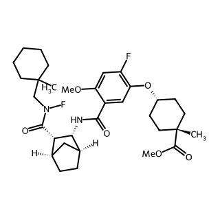 COc1cc(F)c(O[C@H]2CC[C@@](C)(C(=O)OC)CC2)cc1C(=O)N[C@@H]1[C@H]2CC[C@H](C2)[C@@H]1C(=O)N(F)CC1(C)CCCCC1